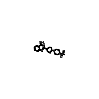 CS(=O)(=O)N1CCN(C2CCC(c3nc(N)c4ccccc4n3)CC2)CC1